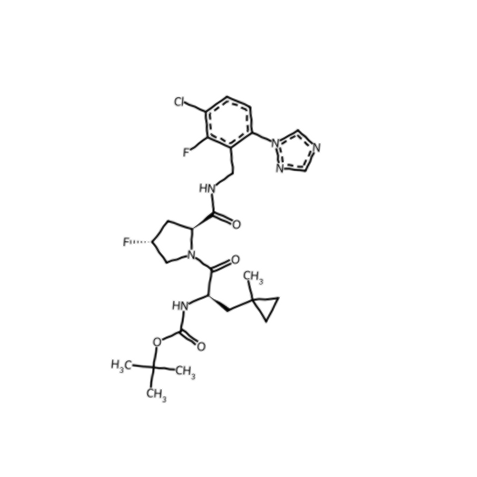 CC1(C[C@@H](NC(=O)OC(C)(C)C)C(=O)N2C[C@H](F)C[C@H]2C(=O)NCc2c(-n3cncn3)ccc(Cl)c2F)CC1